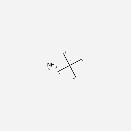 CC(C)(C)C.N